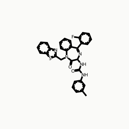 Cc1cccc(NC(=O)NC2N=C(c3ccccc3F)c3ccccc3N(Cc3nc4ccccc4s3)C2=O)c1